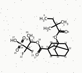 CCC(C)(C)C(=O)OC12CC3CC(C1)CC(C(=O)OC(C)C(F)(F)S(=O)(=O)O)(C3)C2